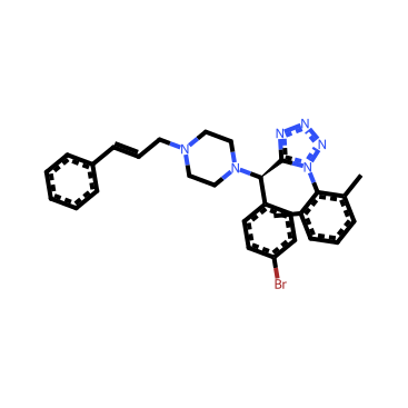 Cc1cccc(C)c1-n1nnnc1[C@@H](c1ccc(Br)cc1)N1CCN(C/C=C/c2ccccc2)CC1